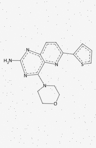 Nc1nc(N2CCOCC2)c2nc(-c3cccs3)ccc2n1